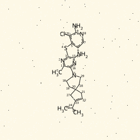 Cc1nc(Sc2ccnc(N)c2Cl)c(N)nc1N1CCC2(CC=C(C(C)C)C2)CC1